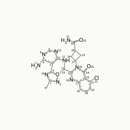 Cc1noc(-c2c(N)ncnc2NC(C)c2nc3cccc(Cl)c3c(=O)n2C2CC(C(N)=O)C2)n1